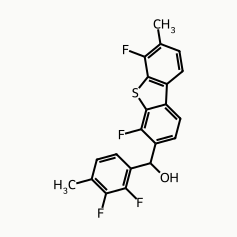 Cc1ccc(C(O)c2ccc3c(sc4c(F)c(C)ccc43)c2F)c(F)c1F